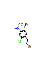 CCOC(=O)N(C)c1ccc(CCBr)c(Cl)c1